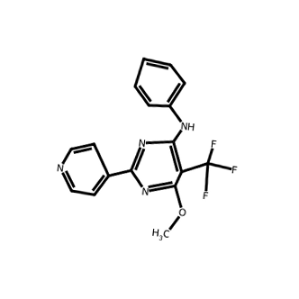 COc1nc(-c2ccncc2)nc(Nc2ccccc2)c1C(F)(F)F